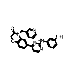 O=C1COc2ccc(-c3ccnc(Nc4cccc(O)c4)n3)cc2N1Cc1cccnc1